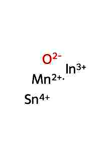 [In+3].[Mn+2].[O-2].[Sn+4]